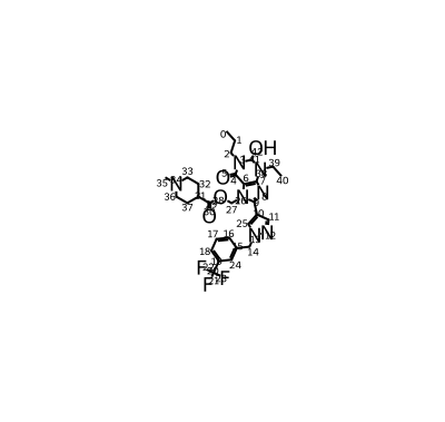 CCCN1C(=O)c2c(nc(-c3cnn(Cc4cccc(C(F)(F)F)c4)c3)n2COC(=O)C2CCN(C)CC2)N(CC)C1O